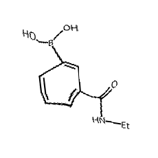 CCNC(=O)c1cccc(B(O)O)c1